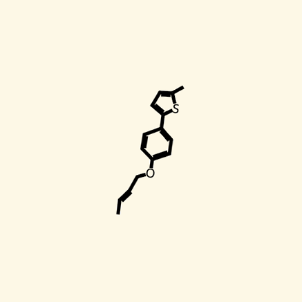 CC=CCOc1ccc(-c2ccc(C)s2)cc1